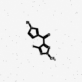 CCn1ccc(C(=O)c2nn(C)nc2I)c1